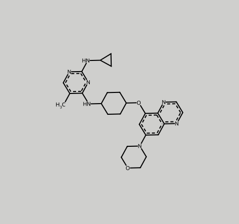 Cc1cnc(NC2CC2)nc1NC1CCC(Oc2cc(N3CCOCC3)cc3nccnc23)CC1